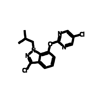 CC(C)Cn1nc(Cl)c2cccc(Oc3ncc(Cl)cn3)c21